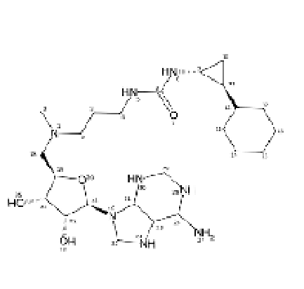 CN(CCCNC(=O)N[C@@H]1C[C@H]1C1CCCCC1)C[C@H]1O[C@@H](N2CNC3C(N)NCNC32)[C@H](O)[C@@H]1O